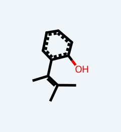 CC(C)=C(C)c1ccccc1O